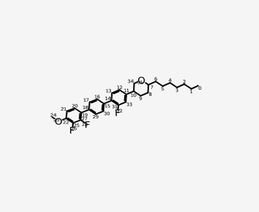 CCCCCCCC1CCC(c2ccc(-c3ccc(-c4ccc(OC)c(F)c4F)cc3)c(F)c2)CO1